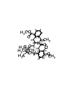 COC(=O)c1cccc2c1C[C@H](CO[Si](C)(C)C(C)(C)C)N(C(=O)Cc1c(F)ccc(OC)c1Cl)[C@H]2C